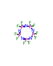 FP1(F)=NP(F)(F)=NP(F)(F)=NP(F)(F)=NP(F)(F)=N1